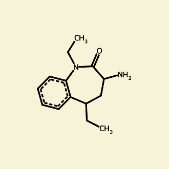 CCC1CC(N)C(=O)N(CC)c2ccccc21